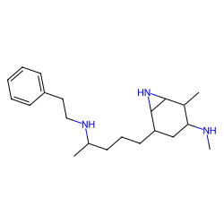 CNC1CC(CCCC(C)NCCc2ccccc2)C2NC2C1C